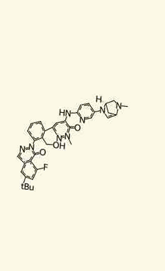 CN1C[C@H]2CC1=CN2c1ccc(Nc2cc(-c3cccc(-n4ncc5cc(C(C)(C)C)cc(F)c5c4=O)c3CO)nn(C)c2=O)nc1